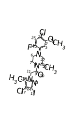 COc1cc(N2CCN(C(=O)Cn3nc(I)c(Cl)c3C)[C@@H](C)C2)c(F)cc1Cl